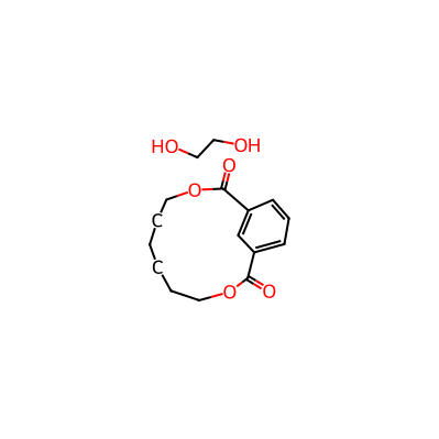 O=C1OCCCCCCOC(=O)c2cccc1c2.OCCO